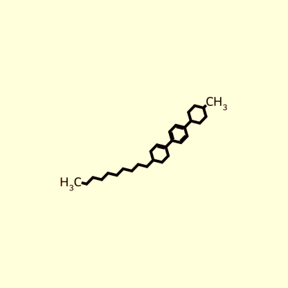 CCCCCCCCCCC1CC=C(c2ccc(C3CCC(C)CC3)cc2)CC1